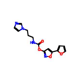 O=C(NCCCn1ccnc1)Oc1cc(-c2ccco2)on1